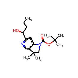 CCCC(O)c1cc2c(cn1)C(C)(C)CN2C(=O)OC(C)(C)C